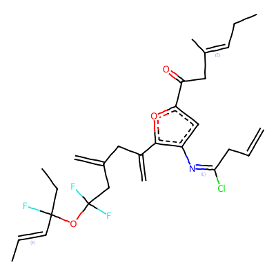 C=CC/C(Cl)=N\c1cc(C(=O)C/C(C)=C/CC)oc1C(=C)CC(=C)CC(F)(F)OC(F)(/C=C/C)CC